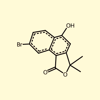 CC1(C)OC(=O)c2c1cc(O)c1ccc(Br)cc21